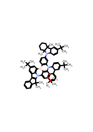 CC(C)(C)C1=CC(c2ccccc2)C(N2c3cc(N4C5C=CC(C(C)(C)C)=CC5C5(C)CCCCC45C)ccc3B3c4c2cc(C(C)(C)C)cc4-n2c4c(c5cc(C(C)(C)C)cc3c52)-c2ccccc2C4(C)C)C=C1